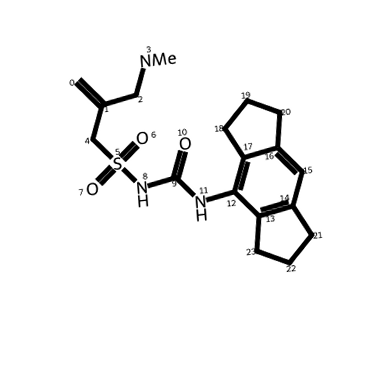 C=C(CNC)CS(=O)(=O)NC(=O)Nc1c2c(cc3c1CCC3)CCC2